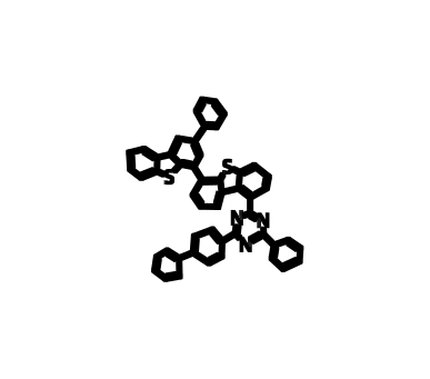 c1ccc(-c2ccc(-c3nc(-c4ccccc4)nc(-c4cccc5sc6c(-c7cc(-c8ccccc8)cc8c7sc7ccccc78)cccc6c45)n3)cc2)cc1